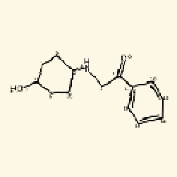 O=C(CNC1CCC(O)CC1)c1ccccc1